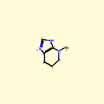 CC(C)(C)N1CCCc2nc[nH]c21